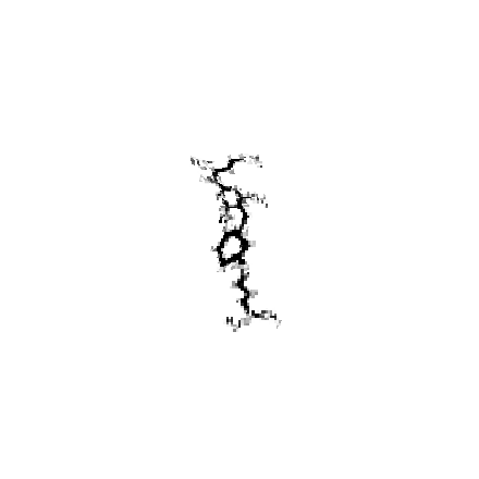 CCCC(C)Nc1nc(C)c(Cc2cccc(OCCCN(C)C)c2)c(N)n1